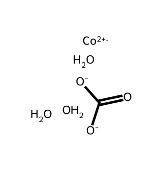 O.O.O.O=C([O-])[O-].[Co+2]